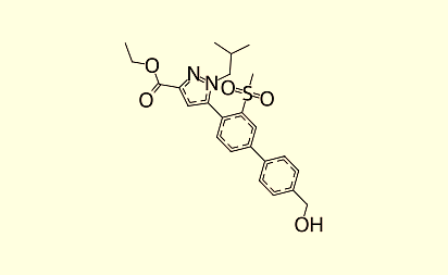 CCOC(=O)c1cc(-c2ccc(-c3ccc(CO)cc3)cc2S(C)(=O)=O)n(CC(C)C)n1